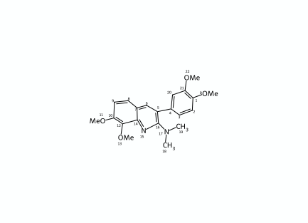 COc1ccc(-c2cc3ccc(OC)c(OC)c3nc2N(C)C)cc1OC